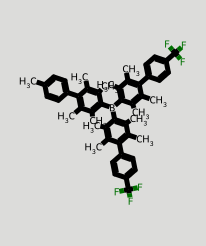 Cc1ccc(-c2c(C)c(C)c(B(c3c(C)c(C)c(-c4ccc(C(F)(F)F)cc4)c(C)c3C)c3c(C)c(C)c(-c4ccc(C(F)(F)F)cc4)c(C)c3C)c(C)c2C)cc1